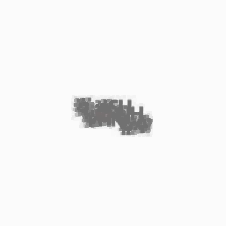 C=C(/C=C\C(=C/N[C@H](N)c1cccc(-c2ccccc2)c1)c1ccccc1S)C1=CC=CC(c2ccccc2)C1